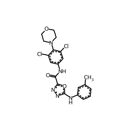 Cc1cccc(Nc2nnc(C(=O)Nc3cc(Cl)c(N4CCOCC4)c(Cl)c3)o2)c1